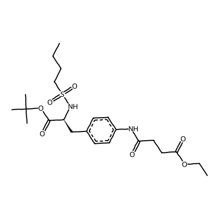 CCCCS(=O)(=O)N[C@@H](Cc1ccc(NC(=O)CCC(=O)OCC)cc1)C(=O)OC(C)(C)C